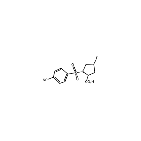 N#Cc1ccc(S(=O)(=O)N2CC(F)CC2C(=O)O)cc1